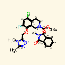 Cc1nnc(COc2c(F)cc(Cl)c3c2[C@@H](CN2C(=O)c4ccccc4C2=O)N(C(=O)OC(C)(C)C)CC3)n1C